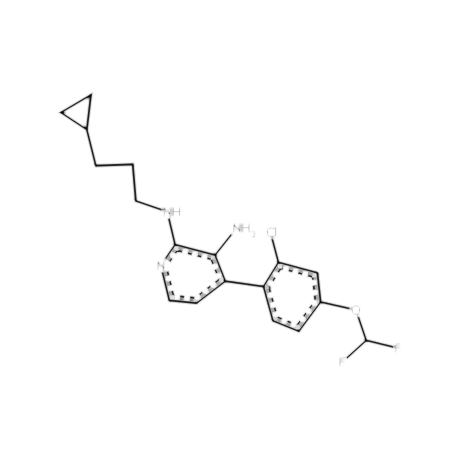 Nc1c(-c2ccc(OC(F)F)cc2Cl)ccnc1NCCCC1CC1